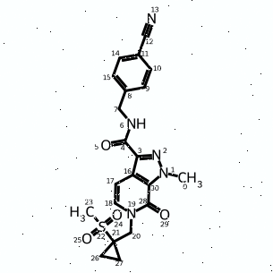 Cn1nc(C(=O)NCc2ccc(C#N)cc2)c2ccn(CC3(S(C)(=O)=O)CC3)c(=O)c21